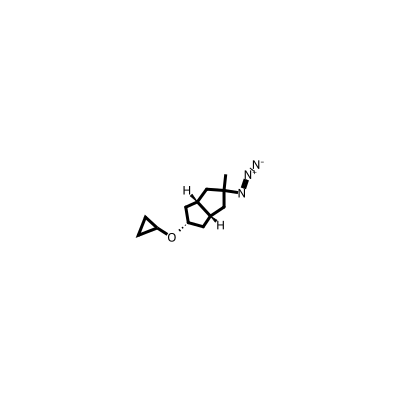 CC1(N=[N+]=[N-])C[C@H]2C[C@@H](OC3CC3)C[C@H]2C1